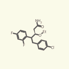 CCO[C@H](CC(N)=O)C(Cc1ccc(Cl)cc1)c1ccc(F)cc1F